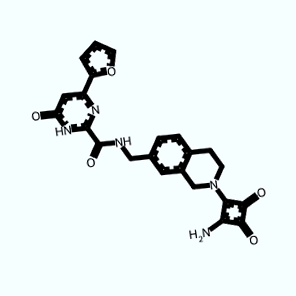 Nc1c(N2CCc3ccc(CNC(=O)c4nc(-c5ccco5)cc(=O)[nH]4)cc3C2)c(=O)c1=O